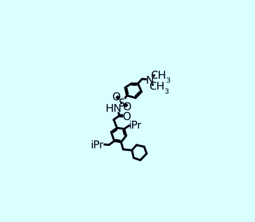 CC(C)Cc1cc(CC(=O)NS(=O)(=O)c2ccc(CN(C)C)cc2)c(C(C)C)cc1CC1CCCCC1